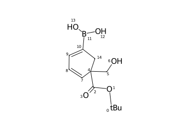 CC(C)(C)OC(=O)C1(CO)C=CC=C(B(O)O)C1